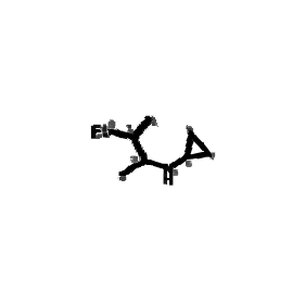 CCC(C)C(C)NC1CC1